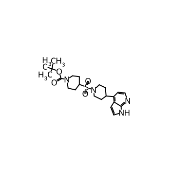 CC(C)(C)OC(=O)N1CCC(S(=O)(=O)N2CCC(c3ccnc4[nH]ccc34)CC2)CC1